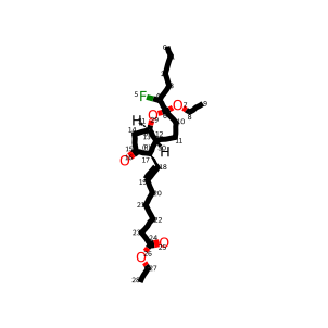 CCCCC(F)C1(OCC)CC[C@H]2[C@@H](CC(=O)[C@@H]2C=CCCCCC(=O)OCC)O1